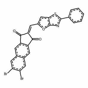 O=C1C(=Cc2cc3sc(-c4ccccc4)nc3o2)C(=O)c2cc3cc(Br)c(Br)cc3cc21